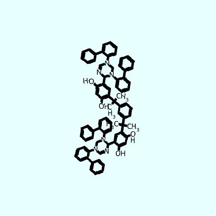 CC(C)(c1cccc(C(C)(C)c2cc(C3N=CN(c4ccccc4-c4ccccc4)CN3c3ccccc3-c3ccccc3)c(O)cc2O)c1)c1cc(C2N=CN(c3ccccc3-c3ccccc3)CN2c2ccccc2-c2ccccc2)c(O)cc1O